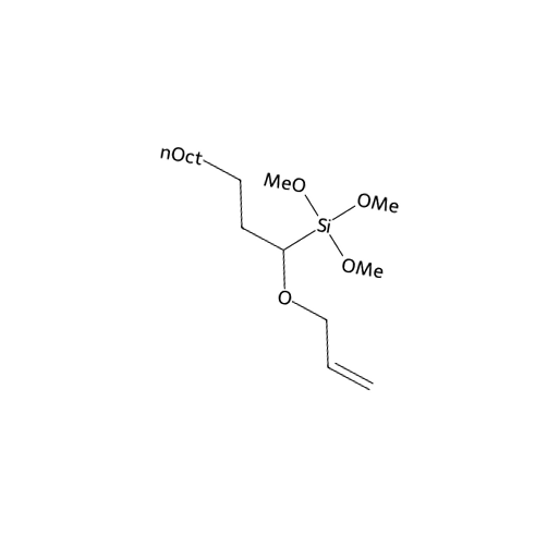 C=CCOC(CCCCCCCCCC)[Si](OC)(OC)OC